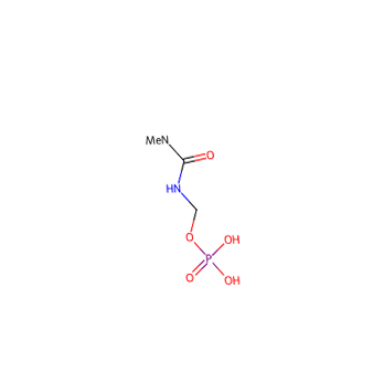 CNC(=O)NCOP(=O)(O)O